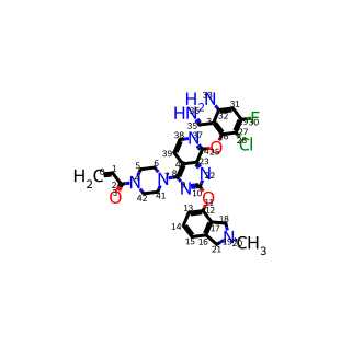 C=CC(=O)N1CCN(c2nc(Oc3cccc4c3CN(C)C4)nc3c(Oc4c(Cl)c(F)cc(N)c4C=N)nccc23)CC1